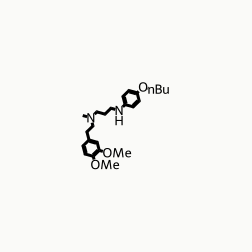 CCCCOc1ccc(NCCCN(C)CCc2ccc(OC)c(OC)c2)cc1